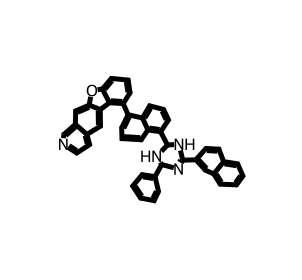 c1ccc(C2N=C(c3ccc4ccccc4c3)NC(c3cccc4c(-c5cccc6oc7cc8cnccc8cc7c56)cccc34)N2)cc1